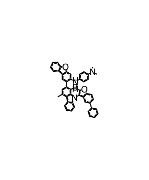 Cc1cc(-c2cc3c(cc2Nc2ccc(N(C)C)cc2)oc2ccccc23)c2c3c1c1ccccc1n3-c1c(oc3ccc(-c4ccccc4)cc13)B2